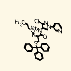 C=CCON=C(CSC(c1ccccc1)(c1ccccc1)c1ccccc1)C(=O)N(CC)c1cn(-c2cccnc2)nc1Cl